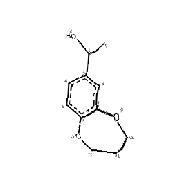 CC(O)c1ccc2c(c1)OCCCO2